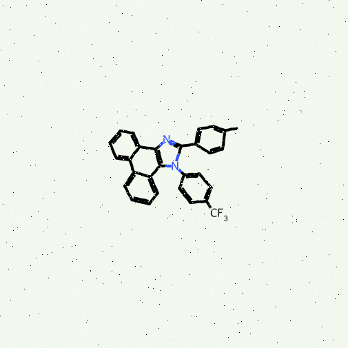 Cc1ccc(-c2nc3c4ccccc4c4ccccc4c3n2-c2ccc(C(F)(F)F)cc2)cc1